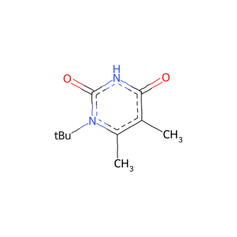 Cc1c(C)n(C(C)(C)C)c(=O)[nH]c1=O